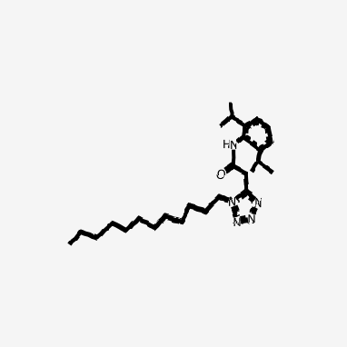 CCCCCCCCCCCCn1nnnc1CC(=O)Nc1c(C(C)C)cccc1C(C)C